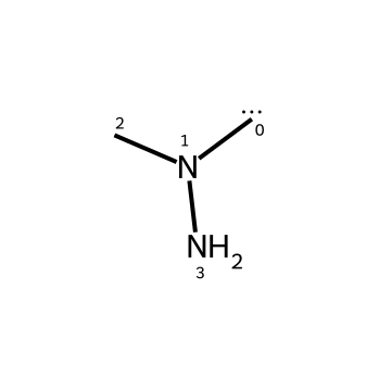 [C]N(C)N